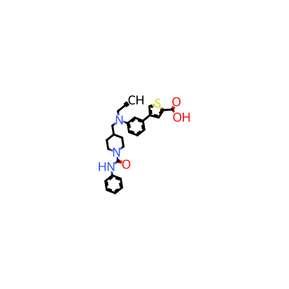 C#CCN(CC1CCN(C(=O)Nc2ccccc2)CC1)c1cccc(-c2csc(C(=O)O)c2)c1